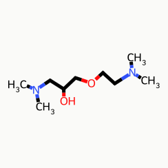 CN(C)CCOCC(O)CN(C)C